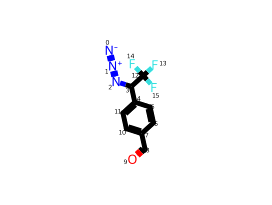 [N-]=[N+]=NC(c1ccc([C]=O)cc1)C(F)(F)F